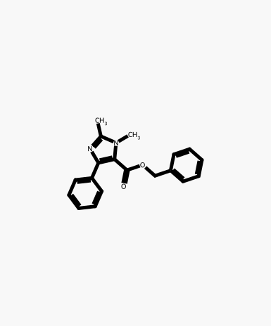 Cc1nc(-c2ccccc2)c(C(=O)OCc2ccccc2)n1C